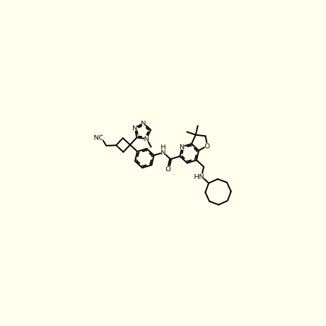 Cn1cnnc1C1(c2cccc(NC(=O)c3cc(CNC4CCCCCCC4)c4c(n3)C(C)(C)CO4)c2)CC(CC#N)C1